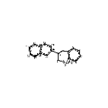 CNCC(Cc1ccccc1)c1ccc2ccccc2c1